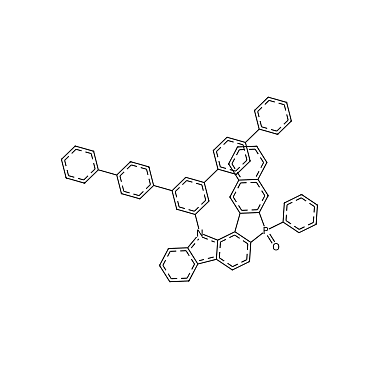 O=P1(c2ccccc2)c2cc3ccccc3cc2-c2c1ccc1c3ccccc3n(-c3cc(-c4ccc(-c5ccccc5)cc4)cc(-c4ccc(-c5ccccc5)cc4)c3)c21